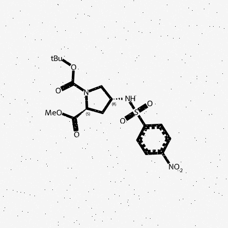 COC(=O)[C@@H]1C[C@@H](NS(=O)(=O)c2ccc([N+](=O)[O-])cc2)CN1C(=O)OC(C)(C)C